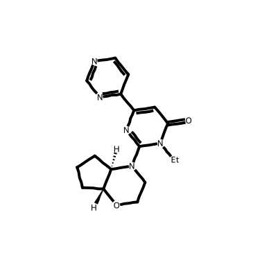 CCn1c(N2CCO[C@@H]3CCC[C@H]32)nc(-c2ccncn2)cc1=O